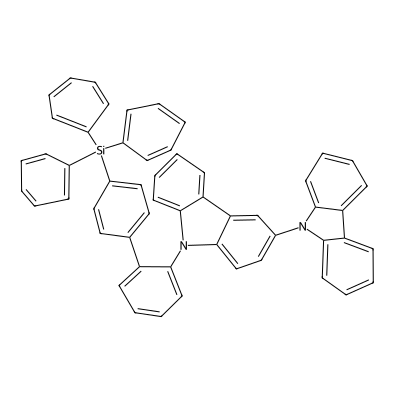 c1ccc([Si](c2ccccc2)(c2ccccc2)c2ccc(-c3ccccc3-n3c4ccccc4c4cc(-n5c6ccccc6c6ccccc65)ccc43)cc2)cc1